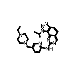 CCN1CCN(Cc2ccc(Nc3ncc4ccc5nnn(C(C)C)c5c4n3)nc2)CC1